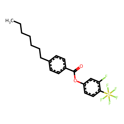 CCCCCCCc1ccc(C(=O)Oc2ccc(S(F)(F)(F)(F)F)c(F)c2)cc1